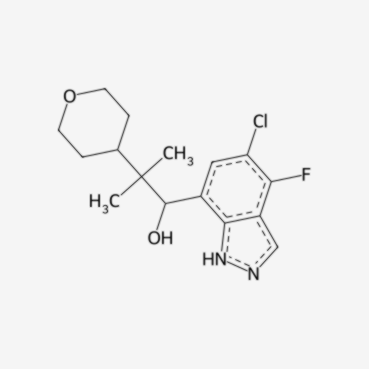 CC(C)(C1CCOCC1)C(O)c1cc(Cl)c(F)c2cn[nH]c12